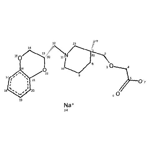 C[C@]1(COCC(=O)[O-])CCCN(C[C@H]2COc3ccccc3O2)C1.[Na+]